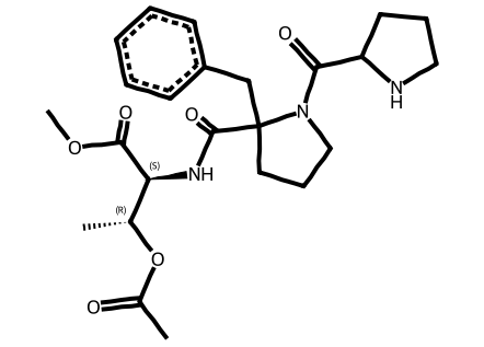 COC(=O)[C@@H](NC(=O)C1(Cc2ccccc2)CCCN1C(=O)C1CCCN1)[C@@H](C)OC(C)=O